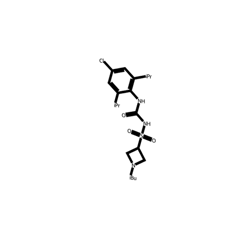 CCC(C)N1CC(S(=O)(=O)NC(=O)Nc2c(C(C)C)cc(Cl)cc2C(C)C)C1